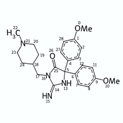 COc1ccc(C2(c3ccc(OC)cc3)NC(=N)N(CC3CCN(C)CC3)C2=O)cc1